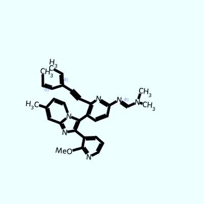 C/C=C\C(C#Cc1nc(/N=C/N(C)C)ccc1-c1c(-c2cccnc2OC)nc2cc(C)ccn12)=C/C